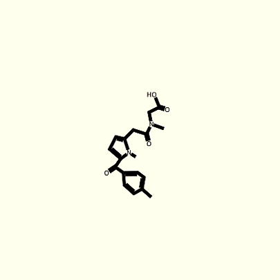 Cc1ccc(C(=O)c2ccc(CC(=O)N(C)CC(=O)O)n2C)cc1